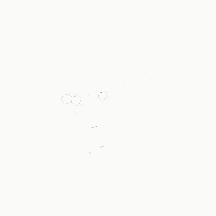 CC(=O)NC(CCC(=O)N1CCC(Nc2nc(NCc3cn(CCCNCCCNC4CCCCC4)nn3)nc3ccccc23)CC1)C(=O)O